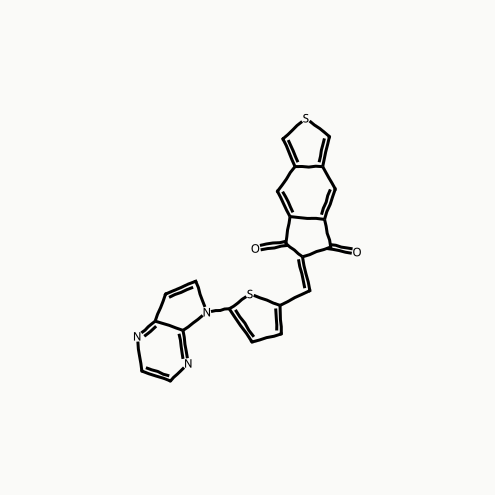 O=C1C(=Cc2ccc(-n3ccc4nccnc43)s2)C(=O)c2cc3cscc3cc21